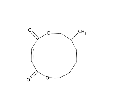 CC1CCCCOC(=O)C=CC(=O)OC1